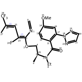 C=N/C(OC[C@H](C)N(CC)C(=O)c1ccc(OC)cc1-n1nccn1)=C(F)\C=C(/C)C(F)(F)F